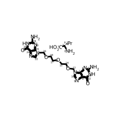 CC(C)[C@H](N)C(=O)O.Nc1nc2c(ncn2COCCOCCOCn2cnc3c(=O)[nH]c(N)nc32)c(=O)[nH]1